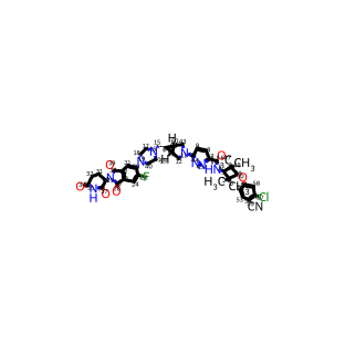 CC1(C)C(NC(=O)c2ccc(N3C[C@@H]4[C@H](CN5CCN(c6cc7c(cc6F)C(=O)N(C6CCC(=O)NC6=O)C7=O)CC5)[C@@H]4C3)nn2)C(C)(C)C1Oc1ccc(C#N)c(Cl)c1